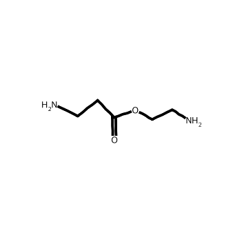 NCCOC(=O)CCN